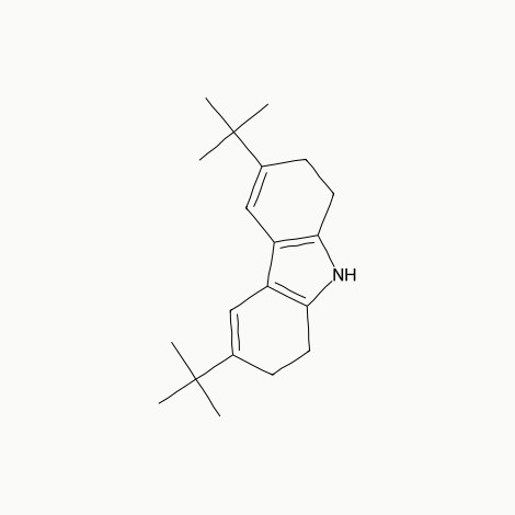 CC(C)(C)C1=Cc2c([nH]c3c2C=C(C(C)(C)C)CC3)CC1